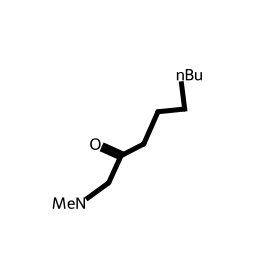 CCCCCCCC(=O)CNC